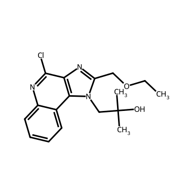 CCOCc1nc2c(Cl)nc3ccccc3c2n1CC(C)(C)O